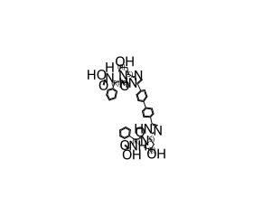 O=C(O)N[C@@H](C(=O)N1C[C@H](O)C[C@H]1c1ncc(-c2ccc(-c3ccc(-c4cnc([C@@H]5C[C@@H](O)CN5C(=O)[C@H](NC(=O)O)c5ccccc5)[nH]4)cc3)cc2)[nH]1)c1ccccc1